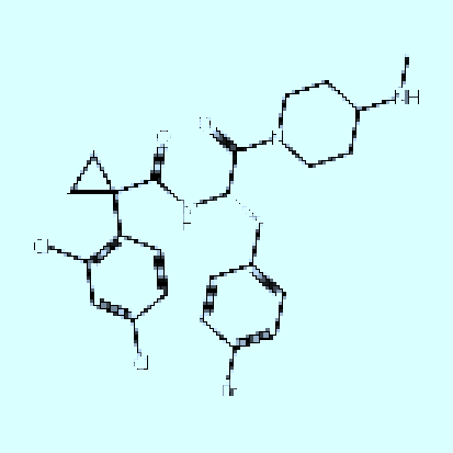 CNC1CCN(C(=O)[C@H](Cc2ccc(Br)cc2)NC(=O)C2(c3ccc(Cl)cc3Cl)CC2)CC1